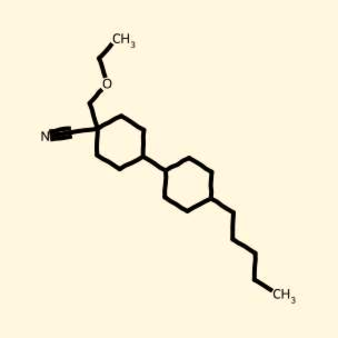 CCCCCC1CCC(C2CCC(C#N)(COCC)CC2)CC1